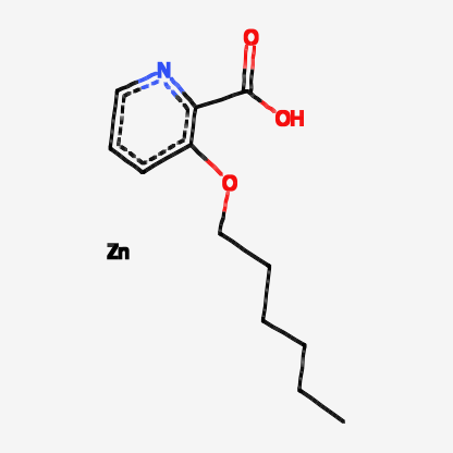 CCCCCCOc1cccnc1C(=O)O.[Zn]